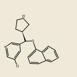 Clc1cncc(C(Oc2cccc3ccccc23)[C@H]2CCNC2)c1